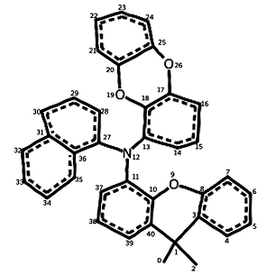 CC1(C)c2ccccc2Oc2c(N(c3cccc4c3Oc3ccccc3O4)c3cccc4ccccc34)cccc21